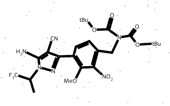 COc1c(-c2nn(C(C)C(F)(F)F)c(N)c2C#N)ccc(CN(C(=O)OC(C)(C)C)C(=O)OC(C)(C)C)c1[N+](=O)[O-]